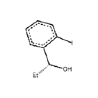 CC[C@@H](O)c1ccccc1I